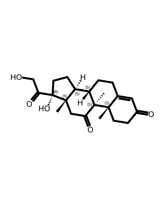 C[C@]12CCC(=O)C=C1CC[C@H]1[C@@H]3CC[C@](O)(C(=O)CO)[C@@]3(C)CC(=O)[C@@]12C